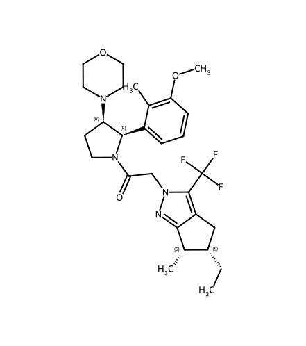 CC[C@H]1Cc2c(nn(CC(=O)N3CC[C@@H](N4CCOCC4)[C@H]3c3cccc(OC)c3C)c2C(F)(F)F)[C@H]1C